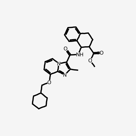 COC(=O)C1CCc2ccccc2C1NC(=O)c1c(C)nc2c(OCC3CCCCC3)cccn12